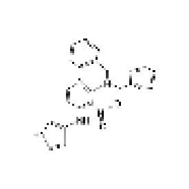 O=[N+]([O-])c1c(Nc2cc[nH]c2)ccnc1N(Cc1ccccc1)Cc1ccccc1